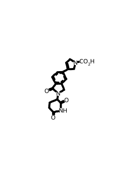 O=C1CCC(N2Cc3cc(C4=CCN(C(=O)O)C4)ccc3C2=O)C(=O)N1